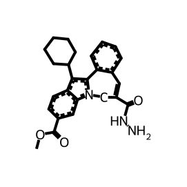 COC(=O)c1ccc2c(C3CCCCC3)c3n(c2c1)CC(C(=O)NN)=Cc1ccccc1-3